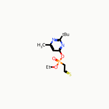 CCOP(=O)(CC=S)Oc1cc(C)nc(C(C)(C)C)n1